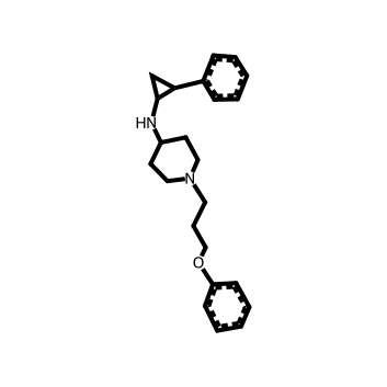 c1ccc(OCCCN2CCC(NC3CC3c3ccccc3)CC2)cc1